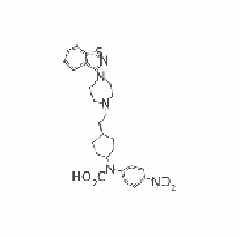 O=C(O)N(c1ccc([N+](=O)[O-])cc1)[C@H]1CC[C@H](CCN2CCN(c3nsc4ccccc34)CC2)CC1